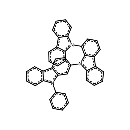 c1ccc(-n2c3ccccc3c3ccc(-n4c5ccccc5c5cccc(-n6c7ccccc7c7ccccc76)c54)cc32)cc1